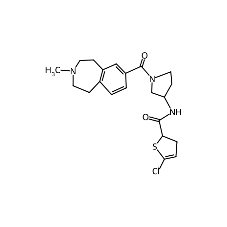 CN1CCc2ccc(C(=O)N3CCC(NC(=O)C4CC=C(Cl)S4)C3)cc2CC1